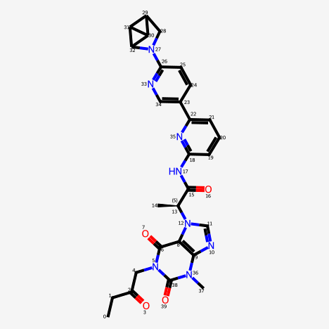 CCC(=O)Cn1c(=O)c2c(ncn2[C@@H](C)C(=O)Nc2cccc(-c3ccc(N4CC5C6C5C64)nc3)n2)n(C)c1=O